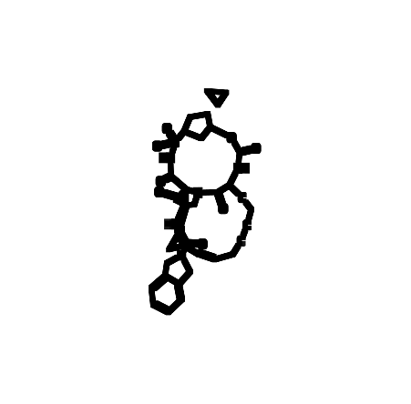 C1CC1.O=C1NC2CCCCCC=CC3CC3NC(=O)C3(CC(OC(=O)N4Cc5ccccc5C4)CN3C2=O)C(=O)NS(=O)(=O)C2CCC(C2)O1